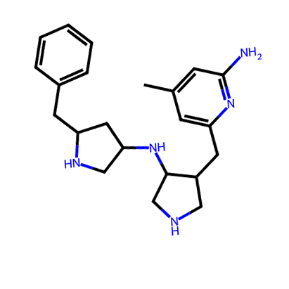 Cc1cc(N)nc(CC2CNCC2NC2CNC(Cc3ccccc3)C2)c1